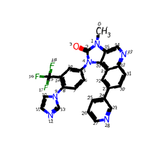 Cn1c(=O)n(-c2ccc(-n3ccnc3)c(C(F)(F)F)c2)c2c3cc(-c4cccnc4)ccc3ncc21